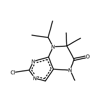 CC(C)N1c2nc(Cl)ncc2N(C)C(=O)C1(C)C